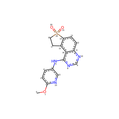 COc1ccc(Nc2ncnc3ccc4c(c23)CCS4(=O)=O)cn1